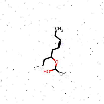 CC/C=C\CC(CC)OC(C)O